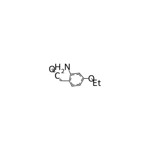 CCOc1ccc(C=C=O)c(N)c1